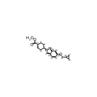 COC(=O)C1CCC(n2cc3ccc(OCC4CC4)cc3n2)CC1